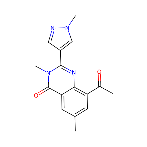 CC(=O)c1cc(C)cc2c(=O)n(C)c(-c3cnn(C)c3)nc12